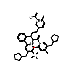 C=C(O)NCC(/C=C\CC)CCC1c2ccccc2-c2cc(CC3CCCC3)c([Si](C)(C)C)c[n+]2C1C(=C)[n+]1cc(CC2CCCC2)c(C)cc1CC